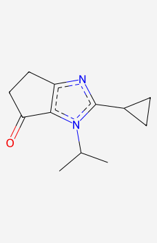 CC(C)n1c(C2CC2)nc2c1C(=O)CC2